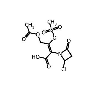 CC(=O)OCC(OS(C)(=O)=O)=C(C(=O)O)N1C(=O)CC1Cl